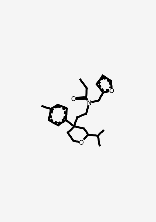 CCC(=O)N(CCC1(c2ccc(C)cc2)CCOC(C(C)C)C1)Cc1ccco1